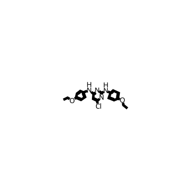 CCOc1ccc(Nc2cc(Cl)nc(Nc3ccc(OCC)cc3)n2)cc1